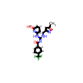 Cc1cc(CN/C(=N/C(=O)c2ccc(C(F)(F)F)cc2)Nc2cccc(O)n2)no1